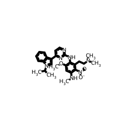 CNc1cc(OC)c(Nc2nccc(-c3cn(C(C)C)c4ccccc34)n2)c(CCN(C)C)c1[N+](=O)[O-]